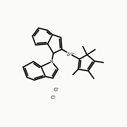 CC1=C(C)C(C)(C)[C]([Zr+2][C]2=Cc3ccccc3C2n2ccc3ccccc32)=C1C.[Cl-].[Cl-]